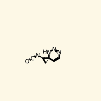 O=C=N[C@@H]1C[C@]12C=CN=NN2